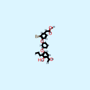 CCCc1c(O[C@@H]2CCC[C@H](Oc3ccc(CC(=O)OC)cc3Br)C2)ccc(C(C)=O)c1O